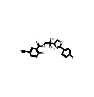 CC(C)(CNC(=O)c1cc(C#N)ccc1Cl)C1COC(c2ccc(F)cc2)=N1